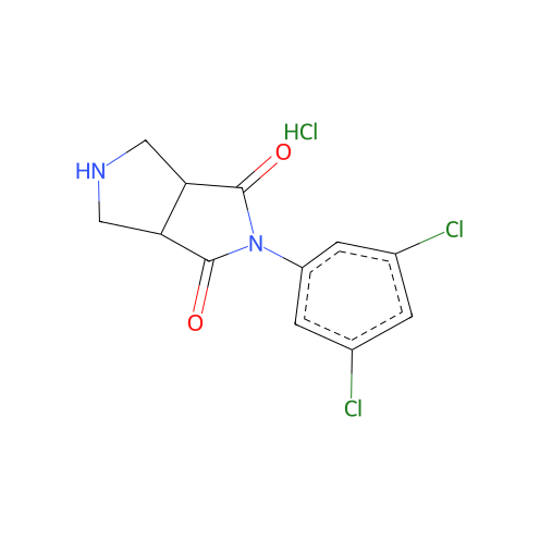 Cl.O=C1C2CNCC2C(=O)N1c1cc(Cl)cc(Cl)c1